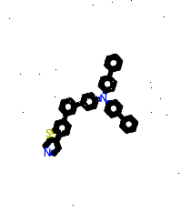 c1ccc(-c2ccc(N(c3ccc(-c4ccccc4)cc3)c3ccc(-c4cccc(-c5ccc6c(c5)sc5cnccc56)c4)cc3)cc2)cc1